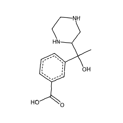 CC(O)(c1cccc(C(=O)O)c1)C1CNCCN1